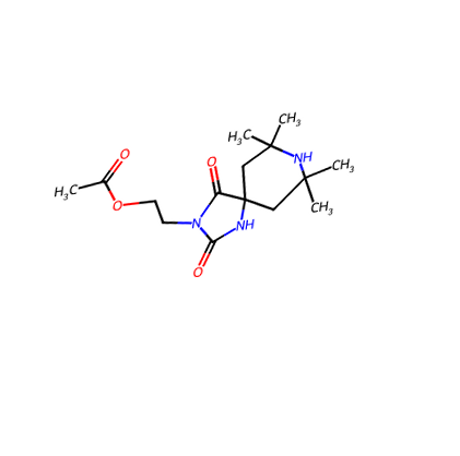 CC(=O)OCCN1C(=O)NC2(CC(C)(C)NC(C)(C)C2)C1=O